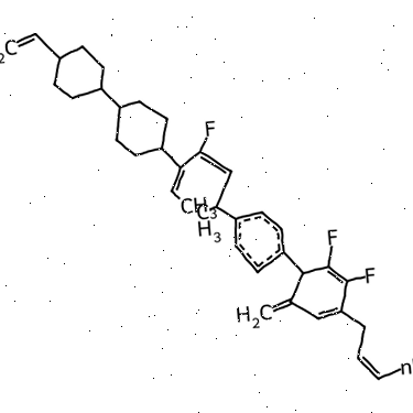 C=CC1CCC(C2CCC(C(=C/C)/C(F)=C\C(C)c3ccc(C4C(=C)C=C(C/C=C\CCC)C(F)=C4F)cc3)CC2)CC1